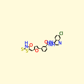 O=C1NC(=S)SC1=Cc1ccc(-c2cccc(C(=O)NNc3ccnc4cc(Cl)ccc34)c2)o1